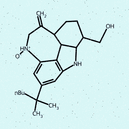 C=C1C[NH+]([O-])c2cc(C(C)(C)CCCC)cc3c2C2C1CCC(CO)C2N3